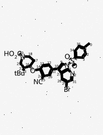 Cc1ccc(S(=O)(=O)n2cc(-c3ccc(OC4CCN(C(=O)O)CC4C(C)(C)C)c(C#N)c3)c3cc(Br)cnc32)cc1